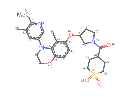 COc1ncc(N2CCOc3ccc(OC4CCN(C(=O)C5CCS(=O)(=O)CC5)C4)c(C)c32)cc1C